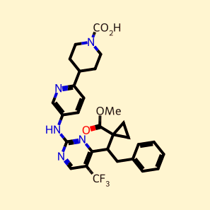 COC(=O)C1(C(Cc2ccccc2)c2nc(Nc3ccc(C4CCN(C(=O)O)CC4)nc3)ncc2C(F)(F)F)CC1